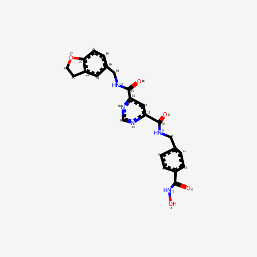 O=C(NO)c1ccc(CNC(=O)c2cc(C(=O)NCc3ccc4c(c3)CCO4)ncn2)cc1